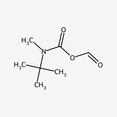 CN(C(=O)OC=O)C(C)(C)C